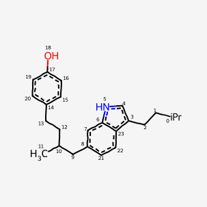 CC(C)CCc1c[nH]c2cc(CC(C)CCc3ccc(O)cc3)ccc12